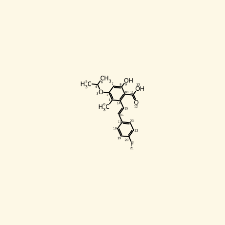 Cc1c(OC(C)C)cc(O)c(C(=O)O)c1C=Cc1ccc(F)cc1